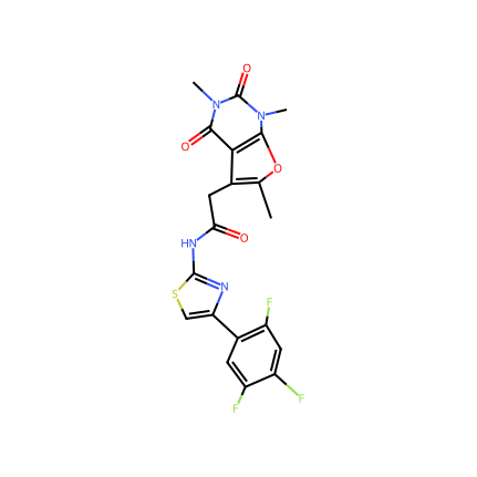 Cc1oc2c(c1CC(=O)Nc1nc(-c3cc(F)c(F)cc3F)cs1)c(=O)n(C)c(=O)n2C